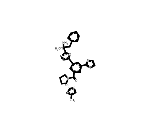 Cc1csc([C@@H]2CCCN2C(=O)c2cc(-c3ncco3)cc(-c3nnc([C@@](C)(N)Cc4ccccc4)o3)c2)n1